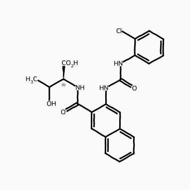 CC(O)[C@H](NC(=O)c1cc2ccccc2cc1NC(=O)Nc1ccccc1Cl)C(=O)O